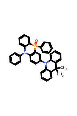 CC1(C)c2ccccc2N(c2ccc3c(c2)P(=O)(c2ccccc2)c2ccccc2N3c2ccccc2)c2ccccc21